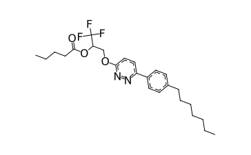 CCCCCCCc1ccc(-c2ccc(OCC(OC(=O)CCCC)C(F)(F)F)nn2)cc1